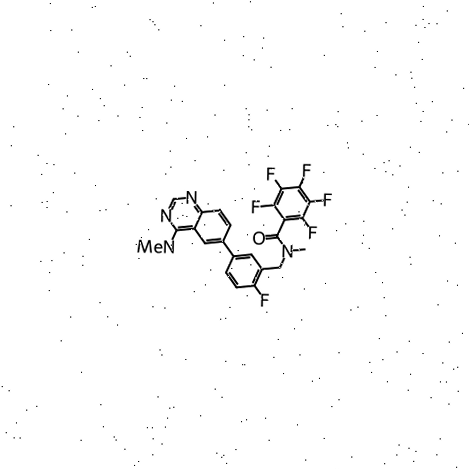 CNc1ncnc2ccc(-c3ccc(F)c(CN(C)C(=O)c4c(F)c(F)c(F)c(F)c4F)c3)cc12